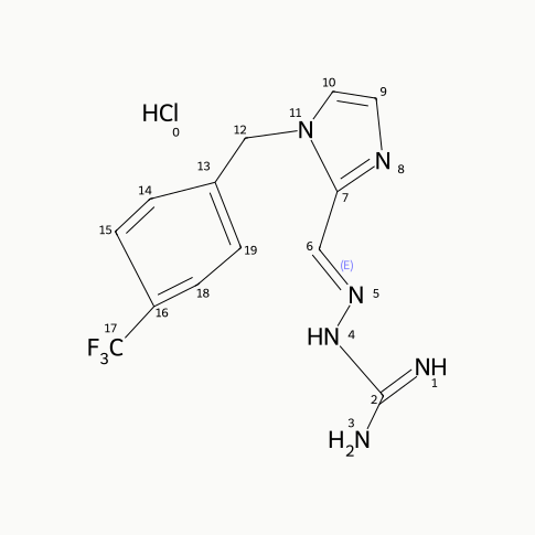 Cl.N=C(N)N/N=C/c1nccn1Cc1ccc(C(F)(F)F)cc1